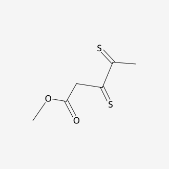 COC(=O)CC(=S)C(C)=S